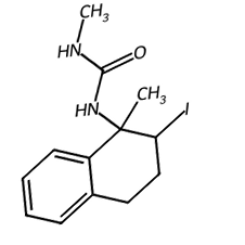 CNC(=O)NC1(C)c2ccccc2CCC1I